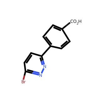 O=C(O)c1ccc(-c2ccc(Br)nn2)cc1